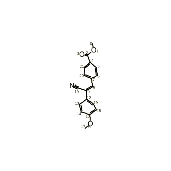 COC(=O)c1ccc(C=C(C#N)c2ccc(OC)cc2)cc1